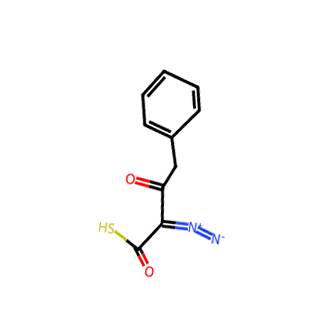 [N-]=[N+]=C(C(=O)S)C(=O)Cc1ccccc1